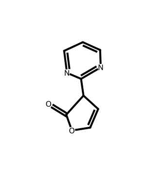 O=C1OC=CC1c1ncccn1